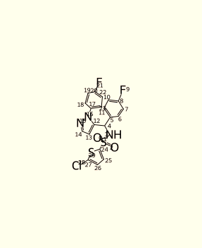 O=S(=O)(NC(c1ccc(F)cc1)c1ccnn1-c1ccc(F)cc1)c1ccc(Cl)s1